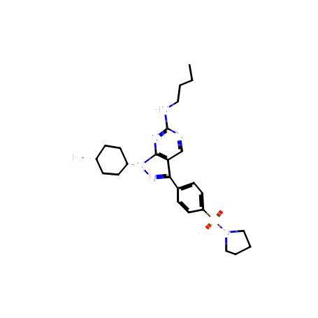 CCCCNc1ncc2c(-c3ccc(S(=O)(=O)N4CCCC4)cc3)nn([C@H]3CC[C@@H](O)CC3)c2n1